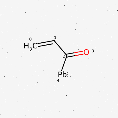 C=C[C](=O)[Pb]